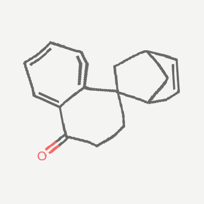 O=C1CCC2(CC3C=CC2C3)c2ccccc21